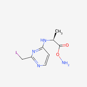 C[C@H](Nc1ccnc(CI)n1)C(=O)ON